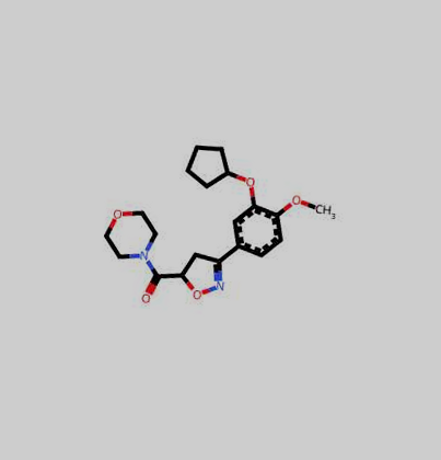 COc1ccc(C2=NOC(C(=O)N3CCOCC3)C2)cc1OC1CCCC1